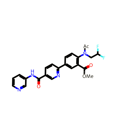 COC(=O)c1cc(-c2ccc(C(=O)Nc3cccnc3)cn2)ccc1N(CC(F)F)C(C)=O